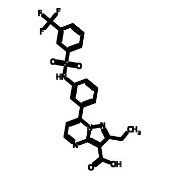 CCc1nn2c(-c3cccc(NS(=O)(=O)c4cccc(C(F)(F)F)c4)c3)ccnc2c1C(=O)O